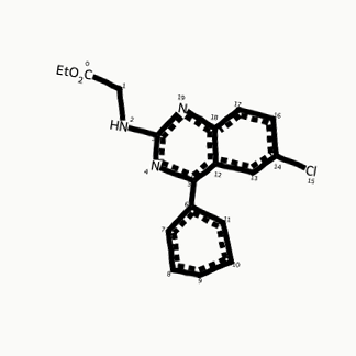 CCOC(=O)CNc1nc(-c2ccccc2)c2cc(Cl)ccc2n1